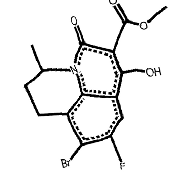 COC(=O)c1c(O)c2cc(F)c(Br)c3c2n(c1=O)C(C)CC3